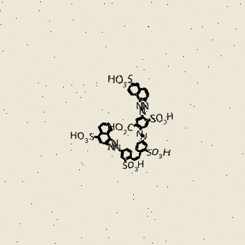 O=C(O)c1cc(-n2n3c4ccc5cc(S(=O)(=O)O)ccc5c4n23)c(S(=O)(=O)O)cc1N=Nc1ccc(/C=C\c2ccc(-n3n4c5cc(S(=O)(=O)O)c6ccccc6c5n34)cc2S(=O)(=O)O)c(S(=O)(=O)O)c1